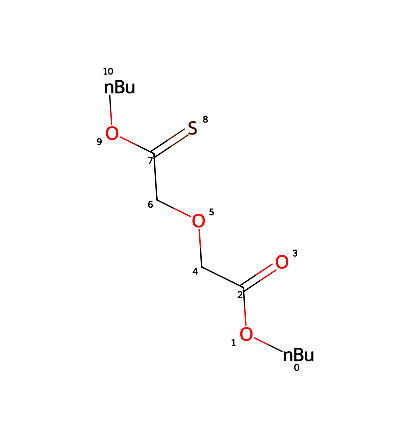 CCCCOC(=O)COCC(=S)OCCCC